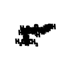 Cc1ccc(C)n1-c1ccc([C@@H](O)CNC(C)(C)Cc2cccc(C(=O)NCc3cccc(-c4ccc(O)cc4)c3)c2)cn1